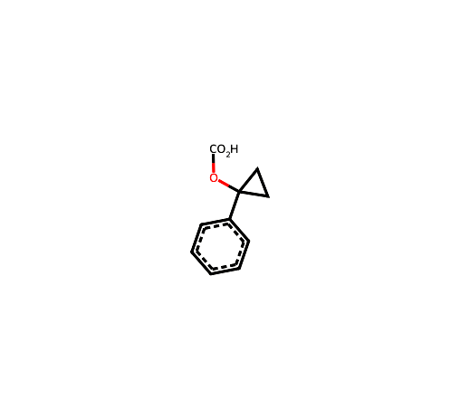 O=C(O)OC1(c2ccccc2)CC1